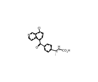 C[C@@H](NC(=O)O)c1ccc(C(=O)c2ccc(Cl)c3cnccc23)cc1